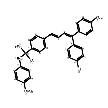 CCCCc1ccc(C(=CC=Cc2ccc(C(CC)(CCC)Nc3ccc(OC)cc3)cc2)c2ccc(CC)cc2)cc1